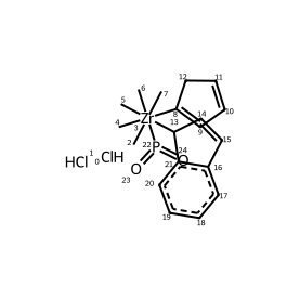 Cl.Cl.[CH3][Zr]([CH3])([CH3])([CH3])([CH3])([C]1=CC=CC1)([CH]1C=Cc2ccccc21)[P](=O)=O